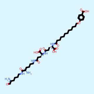 N[C@H](C=O)CCCCNC(=O)[C@@H](N)CCCCNC(=O)CC[C@H](NC(=O)CC[C@H](NC(=O)CCCCCCCCCCCOc1ccc(C(=O)O)cc1)C(=O)O)C(=O)O